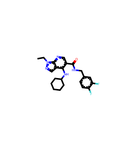 CCn1ncc2c(NC3CCCCC3)c(C(=O)NCc3ccc(F)c(F)c3)cnc21